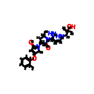 Cc1ccccc1OC1=CC(=O)N([C@H]2CC(C)N(C(=N)/C=C\NCC(C)(C)O)C2=O)C1